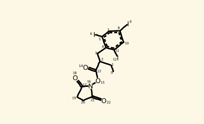 CCC(Cc1c(I)cc(I)cc1I)C(=O)ON1C(=O)CCC1=O